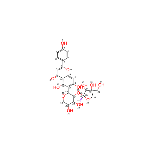 O=c1cc(-c2ccc(O)cc2)oc2cc(O)c(C3OCC(O)C(O)C3O[C@@]3(I)OCC(O)(CO)C3O)c(O)c12